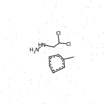 Cc1ccccc1.NNCC(Cl)Cl